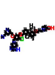 Cc1c(COc2cc(OCc3cncc(C#N)c3)c(CN3CCc4[nH]cnc4C3)cc2Cl)cccc1-c1cccc(OCCCN2CCC(O)C2)c1C